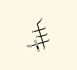 O=S(=O)(O)C(F)(F)C(F)(F)C(F)(F)CF